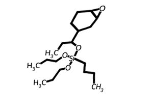 CCCC[Si](OCCC)(OCCC)OC(CC)C1CCC2OC2C1